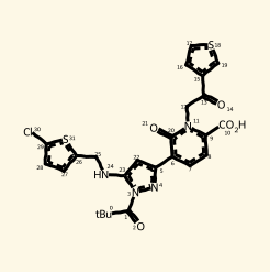 CC(C)(C)C(=O)n1nc(-c2ccc(C(=O)O)n(CC(=O)c3ccsc3)c2=O)cc1NCc1ccc(Cl)s1